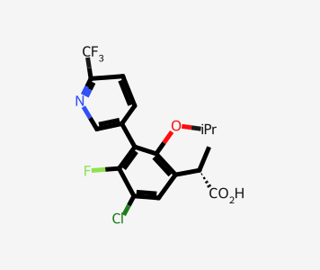 CC(C)Oc1c([C@H](C)C(=O)O)cc(Cl)c(F)c1-c1ccc(C(F)(F)F)nc1